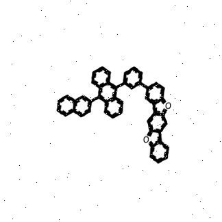 c1cc(-c2ccc3oc4cc5c(cc4c3c2)oc2ccccc25)cc(-c2c3ccccc3c(-c3ccc4ccccc4c3)c3ccccc23)c1